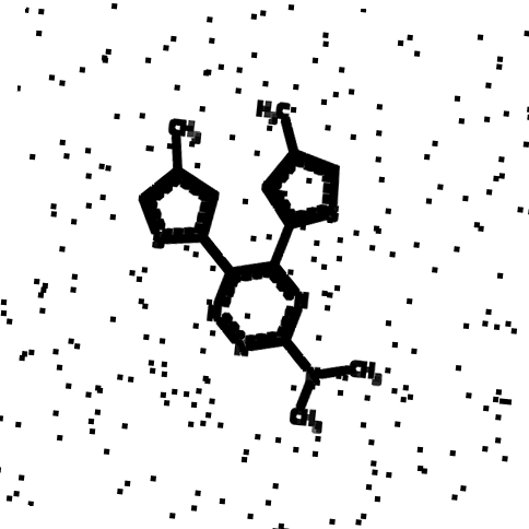 Cc1csc(-c2nnc(N(C)C)nc2-c2cc(C)cs2)c1